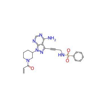 C=CC(=O)N1CCCC(n2nc(C#CCNS(=O)(=O)c3ccccc3)c3c(N)ncnc32)C1